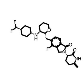 C=C1CC[C@H](N2Cc3c(ccc(C[C@H]4OCCC[C@@H]4N[C@H]4CC[C@H](C(F)F)CC4)c3F)C2=O)C(=O)N1